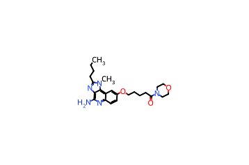 CCCCc1nc2c(N)nc3ccc(OCCCCC(=O)N4CCOCC4)cc3c2n1C